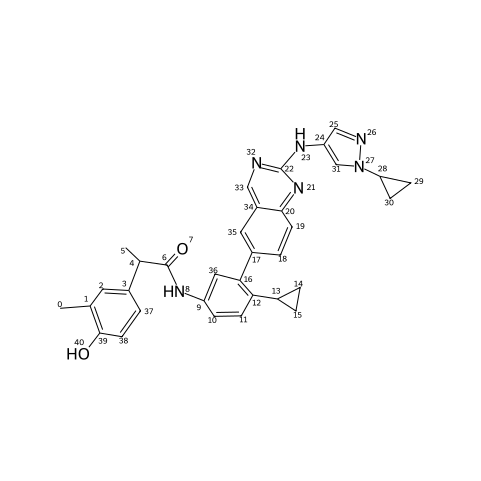 Cc1cc(C(C)C(=O)Nc2ccc(C3CC3)c(-c3ccc4nc(Nc5cnn(C6CC6)c5)ncc4c3)c2)ccc1O